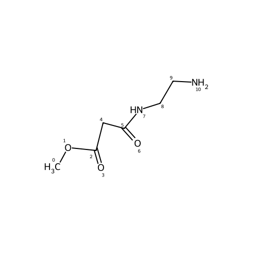 COC(=O)CC(=O)NCCN